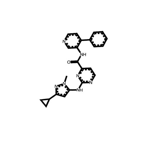 Cn1nc(C2CC2)cc1Nc1nccc(C(=O)Nc2cnccc2-c2ccccc2)n1